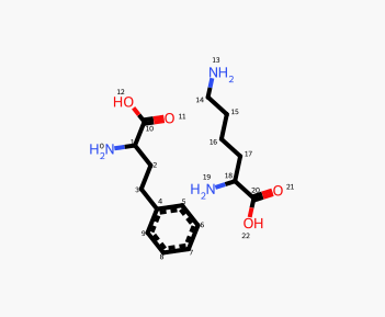 NC(CCc1ccccc1)C(=O)O.NCCCCC(N)C(=O)O